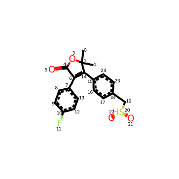 CC1(C)OC(=O)C(c2ccc(F)cc2)=C1c1ccc(C[SH](=O)=O)cc1